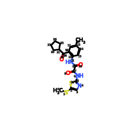 CSc1cnc(NC(=O)C(=O)Nc2ccc(C)cc2C(=O)C2CCCC2)s1